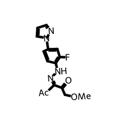 COCC(=O)C(=NNc1ccc(-n2cccn2)cc1F)C(C)=O